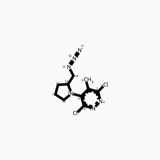 Cc1c(Cl)nnc(Cl)c1N1CCCC1CN=[N+]=[N-]